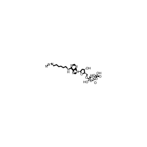 [N-]=[N+]=NCCCCCCNc1ncnc2c1ncn2[C@H]1C[C@H](O)[C@@H](COP(=O)(O)OP(=O)(O)OP(=O)(O)O)O1